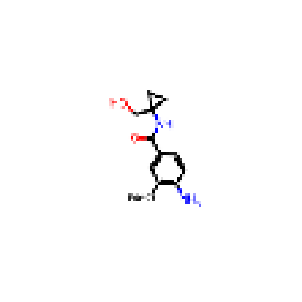 COc1cc(C(=O)NC2(CO)CC2)ccc1N